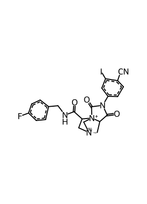 N#Cc1ccc(N2C(=O)C3C[N@]4CC(C(=O)NCc5ccc(F)cc5)[N+]3(C4)C2=O)cc1I